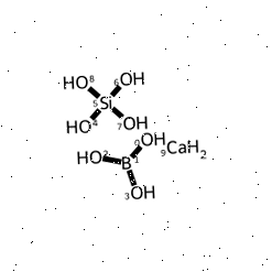 OB(O)O.O[Si](O)(O)O.[CaH2]